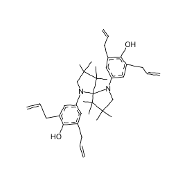 C=CCc1cc(N2CC(C)(C)C(C)(C)C23N(c2cc(CC=C)c(O)c(CC=C)c2)CC(C)(C)C3(C)C)cc(CC=C)c1O